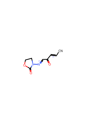 N#C/C=C/C(=O)/C=N/N1CCOC1=O